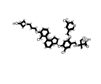 CC(CO)(NCc1cc(Cl)c(O[C@H]2CCc3c(-c4cccc(OCCCN5CC(O)C5)c4Cl)cccc32)cc1OCc1cncc(Cl)c1)C(=O)O